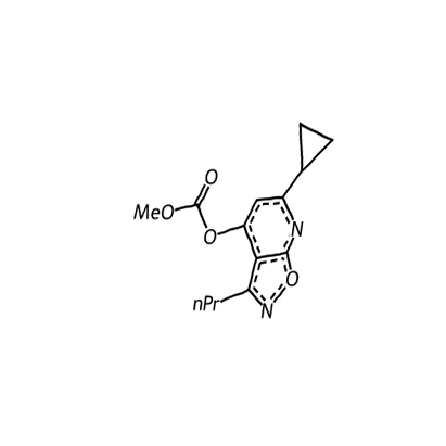 CCCc1noc2nc(C3CC3)cc(OC(=O)OC)c12